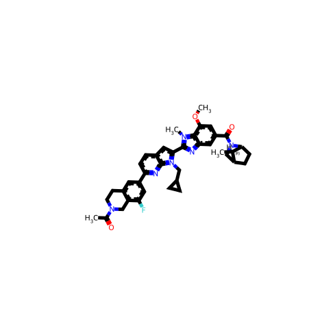 COc1cc(C(=O)N2CC3CCC2[C@@H]3C)cc2nc(-c3cc4ccc(-c5cc(F)c6c(c5)CCN(C(C)=O)C6)nc4n3CC3CC3)n(C)c12